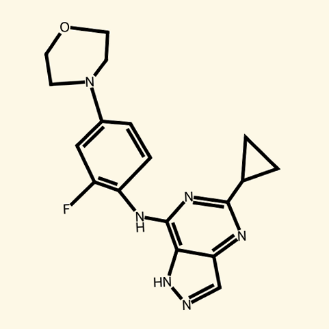 Fc1cc(N2CCOCC2)ccc1Nc1nc(C2CC2)nc2cn[nH]c12